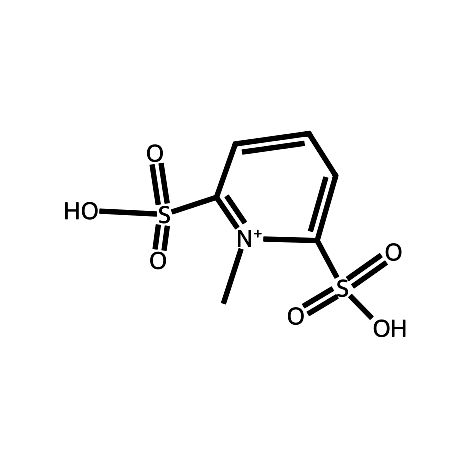 C[n+]1c(S(=O)(=O)O)cccc1S(=O)(=O)O